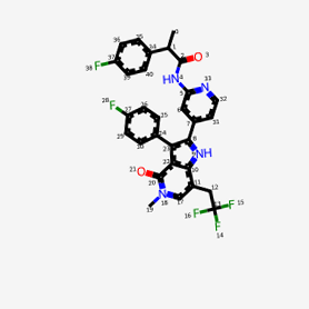 CC(C(=O)Nc1cc(-c2[nH]c3c(CC(F)(F)F)cn(C)c(=O)c3c2-c2ccc(F)cc2)ccn1)c1ccc(F)cc1